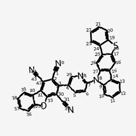 N#Cc1c(-c2ccc(-n3c4ccccc4c4cc5sc6ccccc6c5cc43)nc2)c(C#N)c2oc3ccccc3c2c1C#N